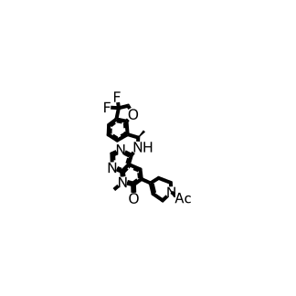 CC(=O)N1CC=C(c2cc3c(N[C@H](C)c4cccc5c4OCC5(F)F)ncnc3n(C)c2=O)CC1